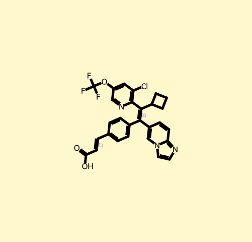 O=C(O)/C=C/c1ccc(/C(=C(\c2ncc(OC(F)(F)F)cc2Cl)C2CCC2)c2ccc3nccn3c2)cc1